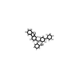 Brc1ccccc1N(c1ccc(-c2ccccc2)cc1)c1ccc2c(c1)oc1ccccc12